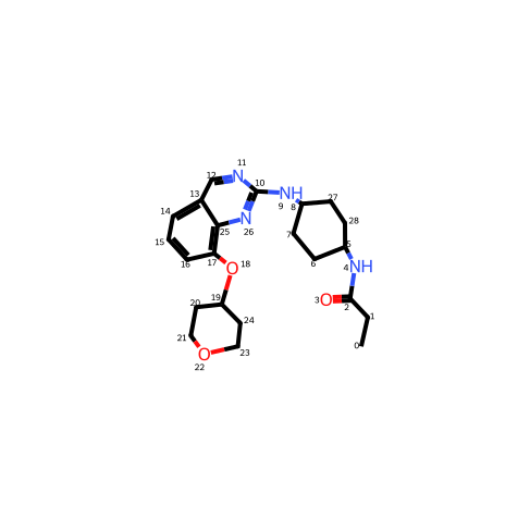 CCC(=O)NC1CCC(Nc2ncc3cccc(OC4CCOCC4)c3n2)CC1